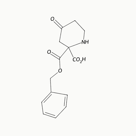 O=C1CCNC(C(=O)O)(C(=O)OCc2ccccc2)C1